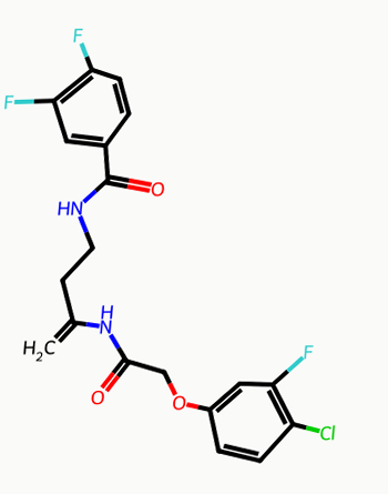 C=C(CCNC(=O)c1ccc(F)c(F)c1)NC(=O)COc1ccc(Cl)c(F)c1